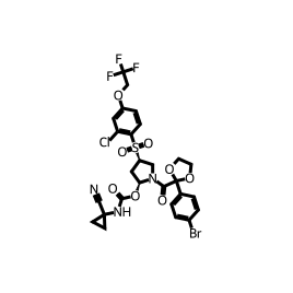 N#CC1(NC(=O)O[C@H]2C[C@@H](S(=O)(=O)c3ccc(OCC(F)(F)F)cc3Cl)CN2C(=O)C2(c3ccc(Br)cc3)OCCO2)CC1